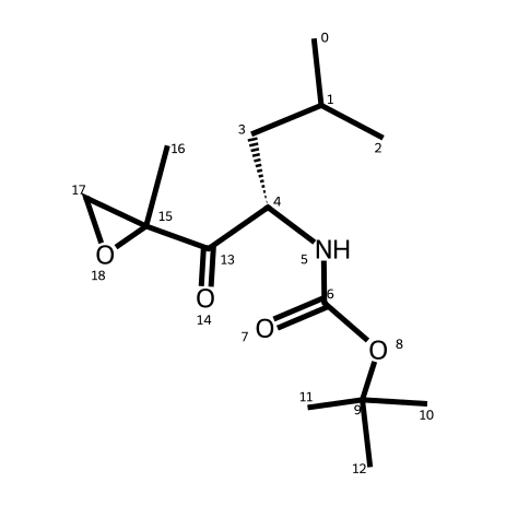 CC(C)C[C@H](NC(=O)OC(C)(C)C)C(=O)C1(C)CO1